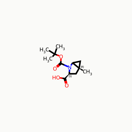 CC(C)(C)OC(=O)N1C2C[C@]2(C)C[C@H]1C(=O)O